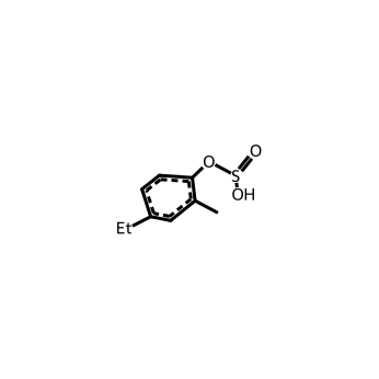 CCc1ccc(OS(=O)O)c(C)c1